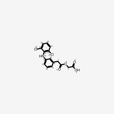 O=C(O)COC(=O)Cc1cccc(Nc2c(Cl)cccc2Cl)c1